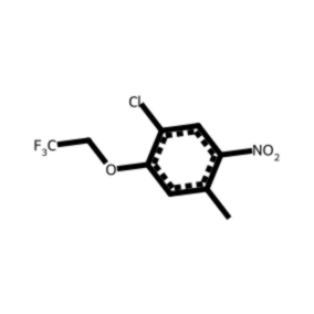 Cc1cc(OCC(F)(F)F)c(Cl)cc1[N+](=O)[O-]